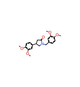 COc1ccc(CN2CC(c3ccc(OC)c(OC)c3)CC2=O)cc1OC